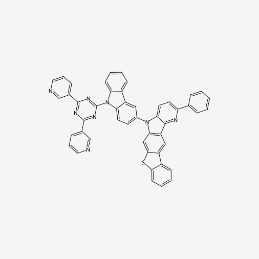 c1ccc(-c2ccc3c(n2)c2cc4c(cc2n3-c2ccc3c(c2)c2ccccc2n3-c2nc(-c3cccnc3)nc(-c3cccnc3)n2)sc2ccccc24)cc1